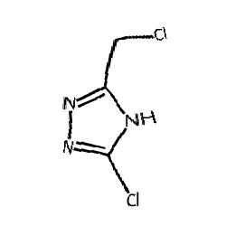 ClCc1nnc(Cl)[nH]1